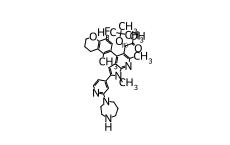 Cc1nc2c(cc(-c3ccnc(N4CCCNCC4)c3)n2C)c(-c2cc(F)c3c(c2C)CCCO3)c1[C@H](OC(C)(C)C)C(=O)O